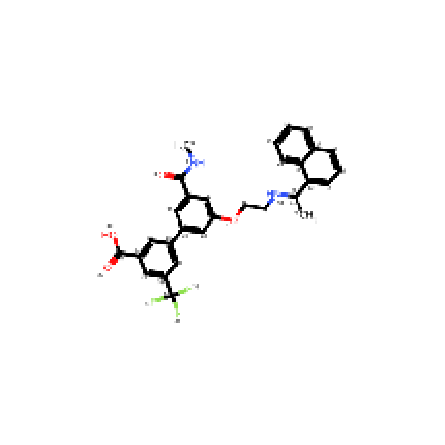 CNC(=O)c1cc(OCCN[C@H](C)c2cccc3ccccc23)cc(-c2cc(C(=O)O)cc(C(F)(F)F)c2)c1